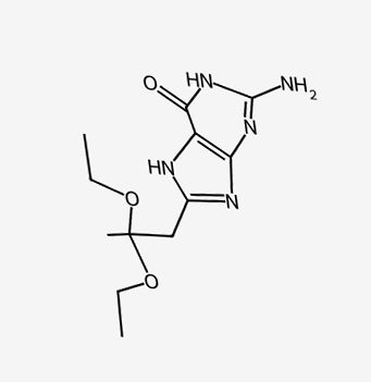 CCOC(C)(Cc1nc2nc(N)[nH]c(=O)c2[nH]1)OCC